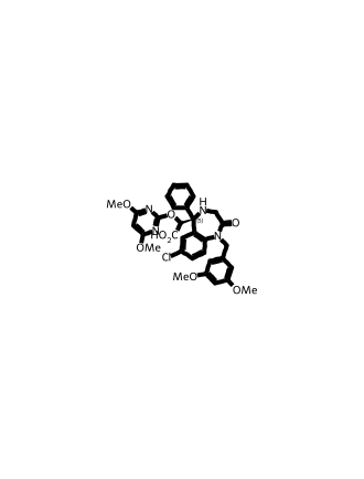 COc1cc(CN2C(=O)CN[C@](c3ccccc3)(C(Oc3nc(OC)cc(OC)n3)C(=O)O)c3cc(Cl)ccc32)cc(OC)c1